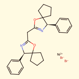 [Br-].[Br-].[Ni+2].c1ccc([C@H]2N=C(CC3=N[C@H](c4ccccc4)C4(CCCC4)O3)OC23CCCC3)cc1